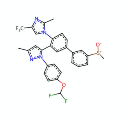 Cc1cc(-c2cc(-c3cccc([S+](C)[O-])c3)ccc2-n2cc(C(F)(F)F)nc2C)n(-c2ccc(OC(F)F)cc2)n1